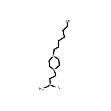 CCCCCCCN1CCN(CCN(C)C)CC1